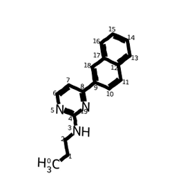 CCCNc1nccc(-c2ccc3ccccc3c2)n1